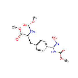 CC(C)(C)OC(=O)N/C(=N/O)c1ccc(C[C@H](NC(=O)OC(C)(C)C)C(=O)OC(C)(C)C)cc1